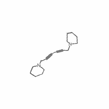 C(C#CCN1CCCCC1)#CCN1CCCCC1